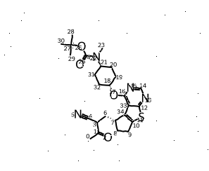 CC(=O)C(C#N)C[C@H]1CCc2sc3ncnc(O[C@H]4CC[C@H](N(C)C(=O)OC(C)(C)C)CC4)c3c21